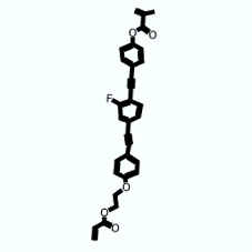 C=CC(=O)OCCOc1ccc(C#Cc2ccc(C#Cc3ccc(OC(=O)C(=C)C)cc3)c(F)c2)cc1